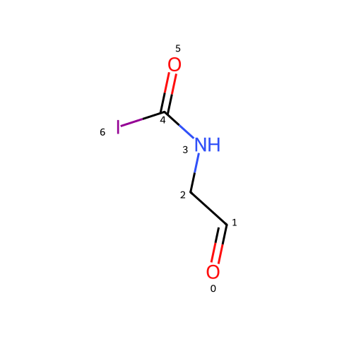 O=CCNC(=O)I